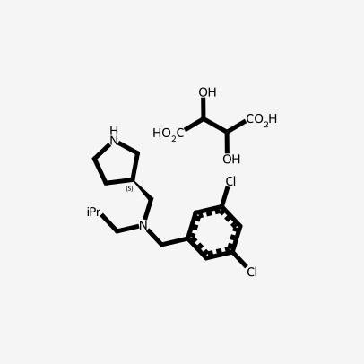 CC(C)CN(Cc1cc(Cl)cc(Cl)c1)C[C@H]1CCNC1.O=C(O)C(O)C(O)C(=O)O